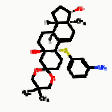 CC1(C)COC2(CC[C@]3(Sc4cccc(N)c4)C4=CC[C@]5(C)[C@@H](O)CC[C@H]5[C@@H]4CC[C@@]3(O)C2)OC1